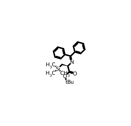 CC(C)(C)OC(=O)[C@@H](C[Si](C)(C)C)N=C(c1ccccc1)c1ccccc1